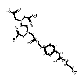 O=C(O)CN(CCN(CC(=O)O)CC(=O)OCc1ccc(NC(=S)NCCO)cc1)CC(=O)O